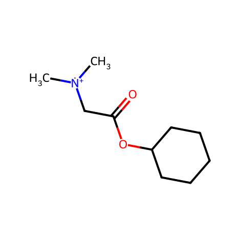 C[N+](C)CC(=O)OC1CCCCC1